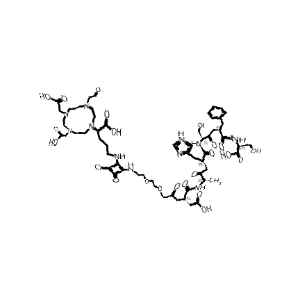 C[C@H](NC(=O)[C@H](CC(=O)O)CC(=O)COCCOCCNc1c(NCCCC(C(=O)O)N2CCN(CC=O)CCN(CC(=O)O)CCN(CC(=O)O)CC2)c(=O)c1=O)C(=O)C[C@@H](Cc1c[nH]cn1)C(=O)N[C@@H](CO)C(=O)C[C@@H](Cc1ccccc1)C(=O)N[C@@H](CO)C(=O)O